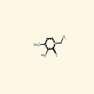 CCOC(=O)c1ccn(CC(F)(F)F)c(=O)c1OC